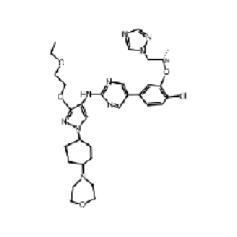 CCOCCOc1nn(C2CCC(N3CCOCC3)CC2)cc1Nc1ncc(-c2ccc(Cl)c(O[C@@H](C)Cn3cncn3)c2)cn1